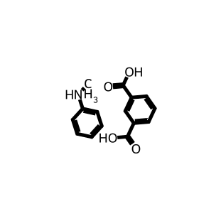 CNc1ccccc1.O=C(O)c1cccc(C(=O)O)c1